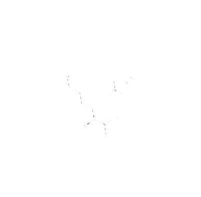 N.N.NCCCC[C@H](N)C(=O)O.O=C(O)O